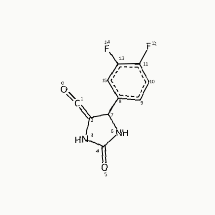 O=C=C1NC(=O)NC1c1ccc(F)c(F)c1